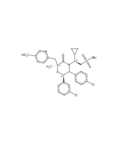 CC(C)(C)S(=O)(=O)C[C@H](C1CC1)N1C(=O)[C@](C)(Cc2ccc(C(=O)O)cn2)O[C@H](c2cccc(Cl)c2)C1c1ccc(Cl)cc1